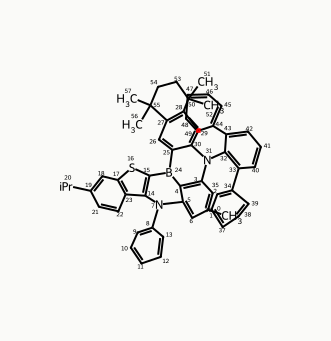 Cc1cc2c3c(c1)N(c1ccccc1)c1c(sc4cc(C(C)C)ccc14)B3c1cc3c(cc1N2c1c(-c2ccccc2)cccc1-c1ccccc1)C(C)(C)CCC3(C)C